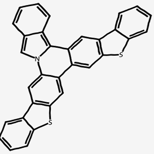 c1ccc2c(c1)cn1c3cc4c(cc3c3cc5sc6ccccc6c5cc3c21)sc1ccccc14